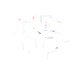 COc1cccc(C(c2ccccc2)(c2ccccc2)[C@@]2(n3cnc4c(=O)[nH]c(N(C)C)nc43)O[C@H](CO)[C@@H](O)[C@H]2O)c1